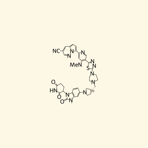 CNc1cc(-c2ccc3cc(C#N)cnn23)ncc1-c1nnc(N2CCN(C[C@@H]3CCN(c4ccc5c(c4)n(C)c(=O)n5C4CCC(=O)NC4=O)C3)CC2)s1